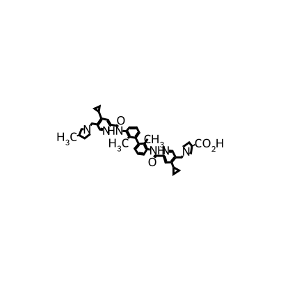 Cc1c(NC(=O)c2cc(C3CC3)c(CN3CC[C@@H](C)C3)cn2)cccc1-c1cccc(NC(=O)c2cc(C3CC3)c(CN3CC[C@@H](C(=O)O)C3)cn2)c1C